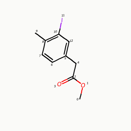 COC(=O)Cc1ccc(C)c(I)c1